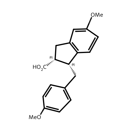 COc1ccc(C[C@H]2c3ccc(OC)cc3C[C@H]2C(=O)O)cc1